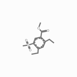 CCc1cc(CC)c(S(C)(=O)=O)cc1C(=O)OC